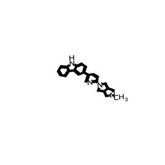 CN1CC2CN(c3ccc(-c4ccc5[nH]c6ccccc6c5c4)cn3)CC2C1